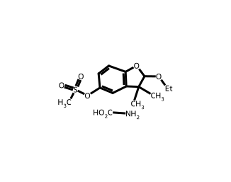 CCOC1Oc2ccc(OS(C)(=O)=O)cc2C1(C)C.NC(=O)O